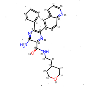 Nc1nc(-c2ccccc2)c(-c2ccc3ncccc3c2)nc1C(=O)NCCC1CCOCC1